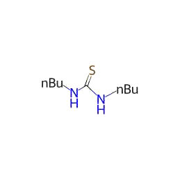 CCCCNC(=S)NCCCC